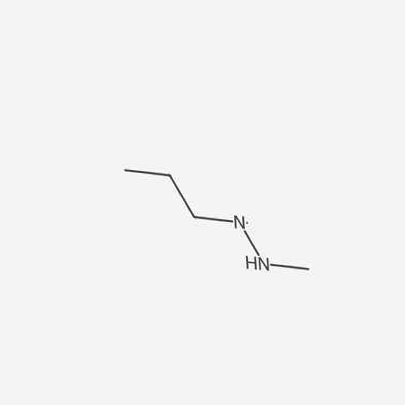 CCC[N]NC